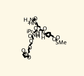 CSC(=O)OCc1ccc(NC(=O)[C@H](CCCNC(N)=O)NC(=O)[C@@H](NC(=O)COCCOCCN2C(=O)C=CC2=O)C(C)C)cc1